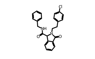 O=C(NCc1ccccc1)C1c2ccccc2C(=O)N1CCc1ccc(Cl)cc1